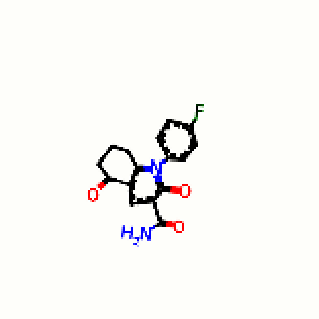 NC(=O)c1cc2c(n(-c3ccc(F)cc3)c1=O)CCCC2=O